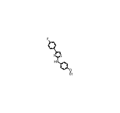 CCOc1ccc(Nc2nc(-c3ccc(F)cc3)cs2)cc1